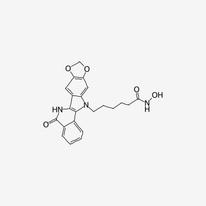 O=C(CCCCCn1c2cc3c(cc2c2[nH]c(=O)c4ccccc4c21)OCO3)NO